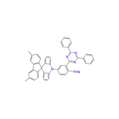 Cc1ccc2c(c1)-c1cc(C)ccc1C21c2ccccc2N(c2ccc(C#N)c(-c3nc(-c4ccccc4)nc(-c4ccccc4)n3)c2)c2ccccc21